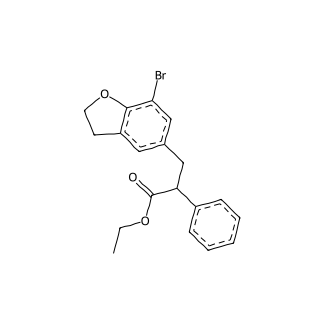 CCOC(=O)C(Cc1cc(Br)c2c(c1)CCO2)c1ccccc1